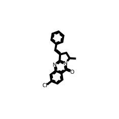 CC1C/C(=C\c2ccccc2)c2nc3cc(Cl)ccc3c(=O)n21